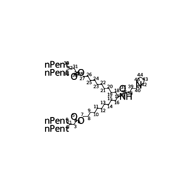 CCCCCC(CCCCC)CC(=O)OCCCCCCCCCCC(CCCCCCCCCCOC(=O)CC(CCCCC)CCCCC)NC(=O)CCCN1CCCC1